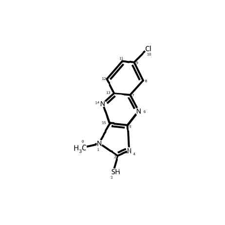 Cn1c(S)nc2nc3cc(Cl)ccc3nc21